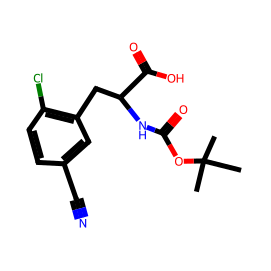 CC(C)(C)OC(=O)NC(Cc1cc(C#N)ccc1Cl)C(=O)O